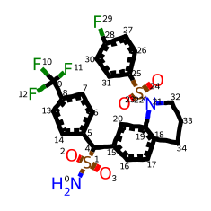 NS(=O)(=O)C(c1ccc(C(F)(F)F)cc1)c1ccc2c(c1)N(S(=O)(=O)c1ccc(F)cc1)CCC2